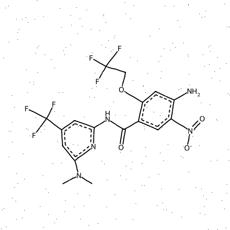 CN(C)c1cc(C(F)(F)F)cc(NC(=O)c2cc([N+](=O)[O-])c(N)cc2OCC(F)(F)F)n1